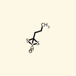 CCCC12S[SH]1(=O)S2